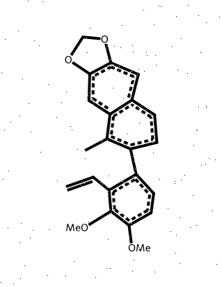 C=Cc1c(-c2ccc3cc4c(cc3c2C)OCO4)ccc(OC)c1OC